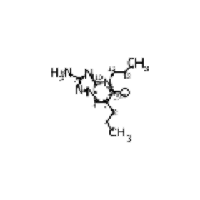 CCCc1cn2nc(N)nc2n(CCC)c1=O